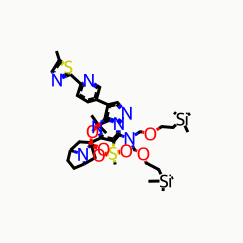 Cc1cnc(-c2ccc(-c3cnn4c(N(COCC[Si](C)(C)C)COCC[Si](C)(C)C)c(S(C)(=O)=O)c(C5CC6CCC(C5)N6C(=O)OC(C)(C)C)nc34)cn2)s1